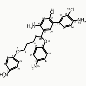 Nc1ccc(OCCCCC(Oc2ccc(N)cc2)c2cc(-c3ccc(N)c(Cl)c3)c(Cl)cc2N)cc1